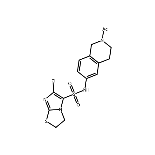 CC(=O)N1CCc2cc(NS(=O)(=O)c3c(Cl)nc4n3CCS4)ccc2C1